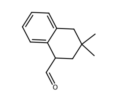 CC1(C)Cc2ccccc2C(C=O)C1